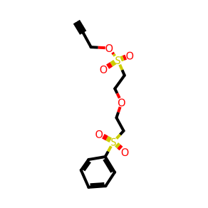 C#CCOS(=O)(=O)CCOCCS(=O)(=O)c1ccccc1